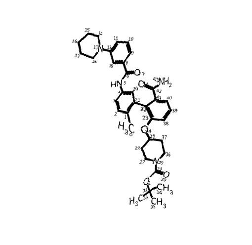 Cc1ccc(NC(=O)c2cccc(N3CCCCC3)c2)cc1-c1c(OC2CCN(C(=O)OC(C)(C)C)CC2)cccc1C(N)=O